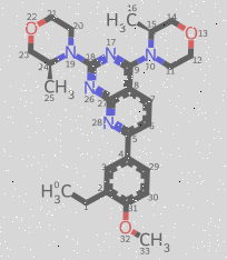 CCc1cc(-c2ccc3c(N4CCOC[C@@H]4C)nc(N4CCOC[C@@H]4C)nc3n2)ccc1OC